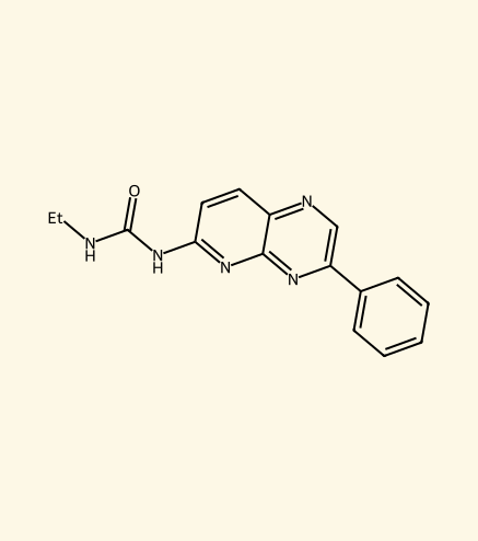 CCNC(=O)Nc1ccc2ncc(-c3ccccc3)nc2n1